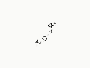 CC(O)(COC1CCC(NC(=O)N2CC(Oc3cccc4scnc34)C2)CC1)C1CC1